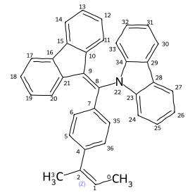 C/C=C(/C)c1ccc(C(=C2c3ccccc3-c3ccccc32)n2c3ccccc3c3ccccc32)cc1